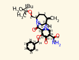 C=C1CC[C@H](CO[Si](C)(C)C(C)(C)C)N2C[C@H]1n1cc(C(N)=O)c(=O)c(OCc3ccccc3)c1C2=O